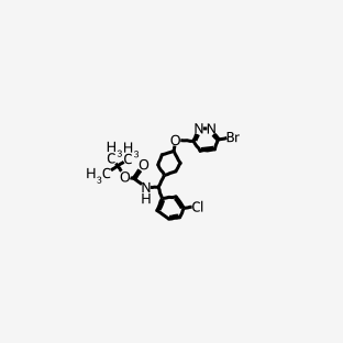 CC(C)(C)OC(=O)NC(c1cccc(Cl)c1)C1CCC(Oc2ccc(Br)nn2)CC1